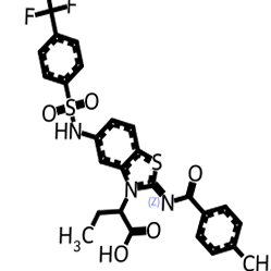 CCC(C(=O)O)n1/c(=N/C(=O)c2ccc(C)cc2)sc2ccc(NS(=O)(=O)c3ccc(C(F)(F)F)cc3)cc21